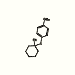 COc1ccc(SC2(C#N)CCCCC2)cc1